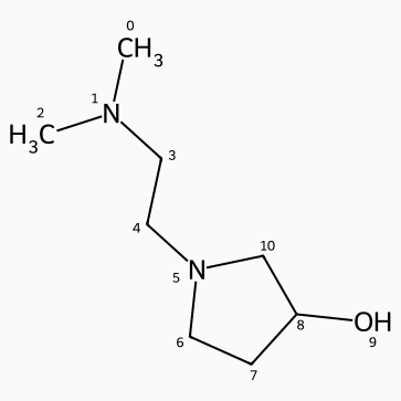 CN(C)CCN1CCC(O)C1